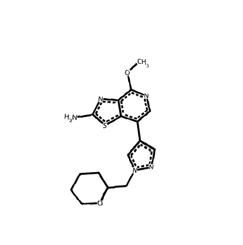 COc1ncc(-c2cnn(CC3CCCCO3)c2)c2sc(N)nc12